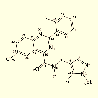 CCn1ncc(CN(C)C(=O)c2nc(-c3ccccc3C)nc3ccc(Cl)cc23)c1C